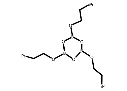 CC(C)CCOB1OB(OCCC(C)C)OB(OCCC(C)C)O1